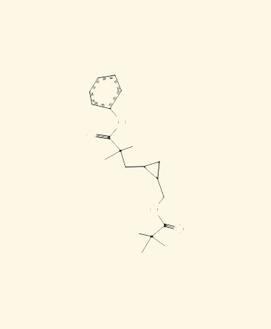 CC(C)(C)C(=O)OCC1CC1CC(C)(C)C(=O)Oc1ccccc1